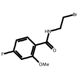 COc1cc(F)ccc1C(=O)NCCBr